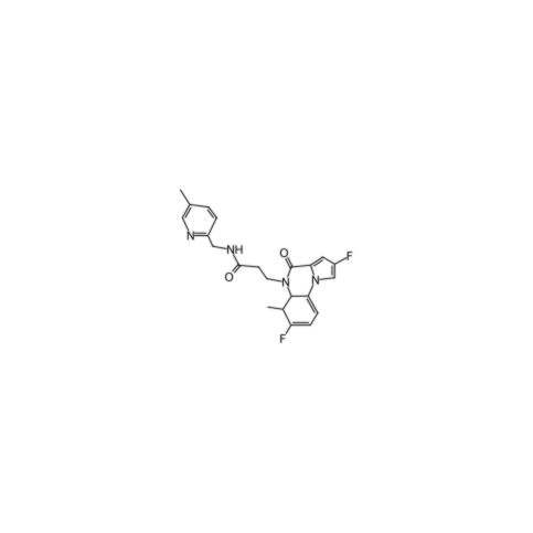 Cc1ccc(CNC(=O)CCN2C(=O)c3cc(F)cn3C3=CC=C(F)C(C)C32)nc1